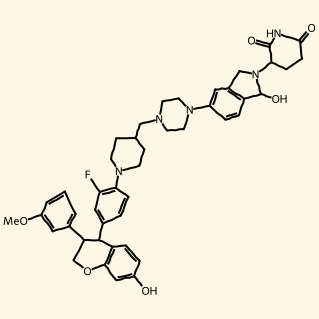 COc1cccc(C2COc3cc(O)ccc3C2c2ccc(N3CCC(CN4CCN(c5ccc6c(c5)CN(C5CCC(=O)NC5=O)C6O)CC4)CC3)c(F)c2)c1